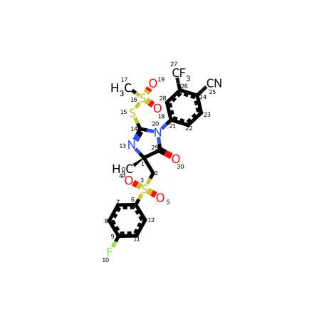 C[C@@]1(CS(=O)(=O)c2ccc(F)cc2)N=C(SS(C)(=O)=O)N(c2ccc(C#N)c(C(F)(F)F)c2)C1=O